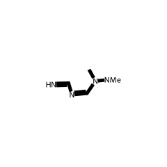 CNN(C)/C=N\C=N